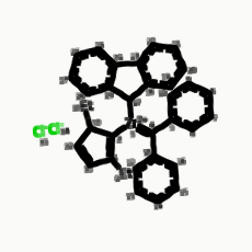 CCC1=[C]([Zr+2](=[C](c2ccccc2)c2ccccc2)[CH]2c3ccccc3-c3ccccc32)C(CC)C=C1.[Cl-].[Cl-]